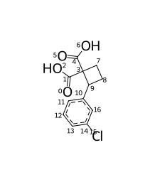 O=C(O)C1(C(=O)O)CCC1c1cccc(Cl)c1